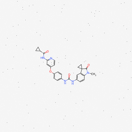 CN1C(=O)C2(CC2)c2cc(NC(=O)Nc3ccc(Oc4ccnc(NC(=O)C5CC5)c4)cc3)ccc21